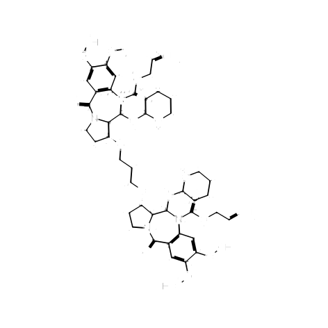 C=CCOC(=O)N1c2cc(OC)c(OC)cc2C(=O)N2CC[C@H](OCCCO[C@H]3CCN4C(=O)c5cc(OC)c(OC)cc5N(C(=O)OCC=C)C(OC5CCCCO5)C34)C2C1OC1CCCCO1